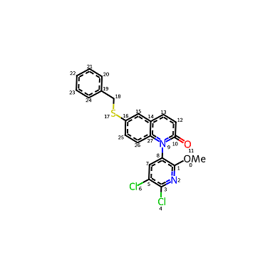 COc1nc(Cl)c(Cl)cc1-n1c(=O)ccc2cc(SCc3ccccc3)ccc21